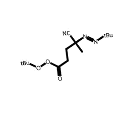 CC(C)(C)N=NC(C)(C#N)CCC(=O)OOC(C)(C)C